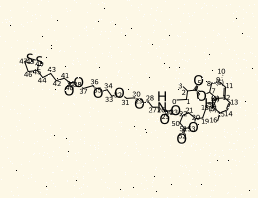 CCC(C)C(=O)OC1C[C@H](C)C=C2C=CC(C)[C@H](CCC3CC(OC(=O)NCCOCCOCCOCCOC(=O)CCCCC4CCSS4)CC(=O)O3)[C@@H]21